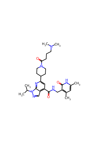 Cc1cc(C)c(CNC(=O)c2cc(C3CCN(C(=O)CCCN(C)C)CC3)nc3c2cnn3C(C)C)c(=O)[nH]1